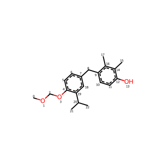 COCOc1ccc(Cc2ccc(O)c(C)c2C)cc1C(C)C